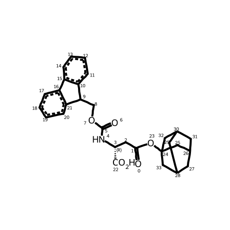 O=C(C[C@@H](NC(=O)OCC1c2ccccc2-c2ccccc21)C(=O)O)OC12CC3CC(CC(C3)C1)C2